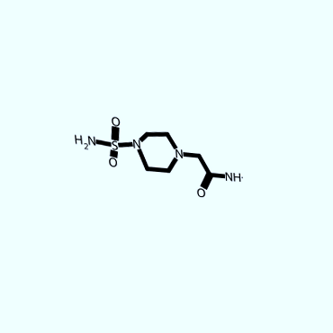 [NH]C(=O)CN1CCN(S(N)(=O)=O)CC1